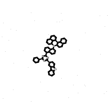 c1ccc(-c2nc(-c3ccc4oc5ccccc5c4c3)nc(-c3cccc4c(N5c6ccc7ccccc7c6-c6cccc7cccc5c67)cccc34)n2)cc1